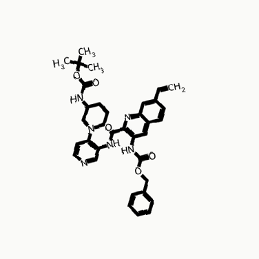 C=Cc1ccc2cc(NC(=O)OCc3ccccc3)c(C(=O)Nc3cnccc3N3CCCC(NC(=O)OC(C)(C)C)C3)nc2c1